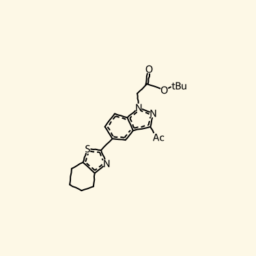 CC(=O)c1nn(CC(=O)OC(C)(C)C)c2ccc(-c3nc4c(s3)CCCC4)cc12